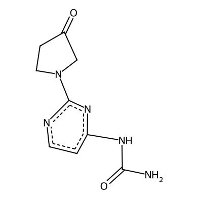 NC(=O)Nc1ccnc(N2CCC(=O)C2)n1